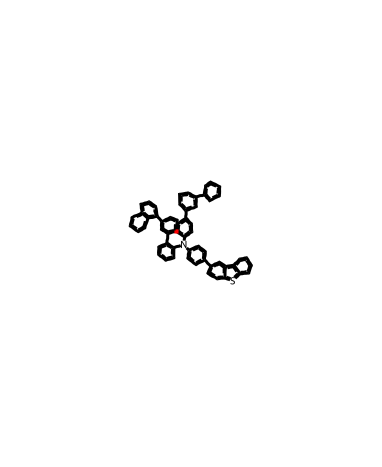 c1ccc(-c2cccc(-c3ccc(N(c4ccc(-c5ccc6sc7ccccc7c6c5)cc4)c4ccccc4-c4cccc(-c5cccc6ccccc56)c4)cc3)c2)cc1